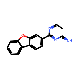 C/C=N\C(=N/C=N)c1ccc2c(c1)oc1ccccc12